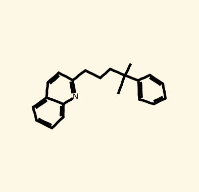 CC(C)(CCCc1ccc2ccccc2n1)c1ccccc1